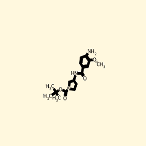 COc1cc(C(=O)NC2CCN(C(=O)OC(C)(C)C)C2)ccc1N